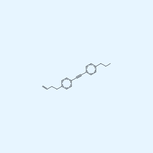 C=CCCc1ccc(C#Cc2ccc(CCC)cc2)cc1